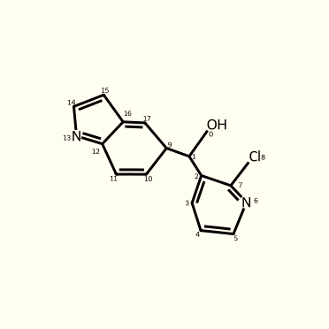 OC(c1cccnc1Cl)C1C=CC2=NC=CC2=C1